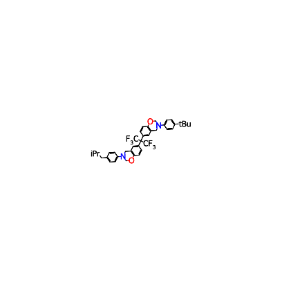 CC(C)Cc1ccc(N2COc3ccc(C(c4ccc5c(c4)CN(c4ccc(C(C)(C)C)cc4)CO5)(C(F)(F)F)C(F)(F)F)cc3C2)cc1